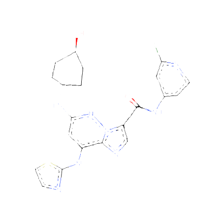 O=C(Nc1ccnc(Cl)c1)c1cnc2c(Nc3nccs3)cc(N[C@H]3CC[C@H](O)CC3)nn12